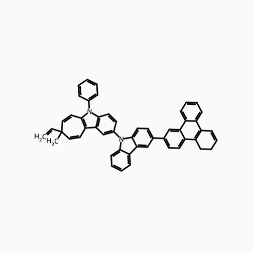 C=CC1(C)C=Cc2c(n(-c3ccccc3)c3ccc(-n4c5ccccc5c5cc(-c6ccc7c8c(c9ccccc9c7c6)C=CCC8)ccc54)cc23)C=C1